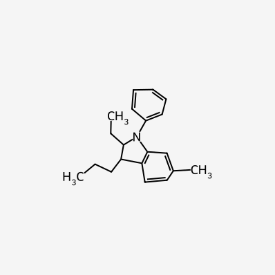 CCCC1c2ccc(C)cc2N(c2ccccc2)C1CC